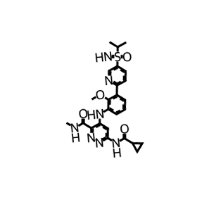 CNC(=O)c1nnc(NC(=O)C2CC2)cc1Nc1cccc(-c2ccc(S(=N)(=O)C(C)C)cn2)c1OC